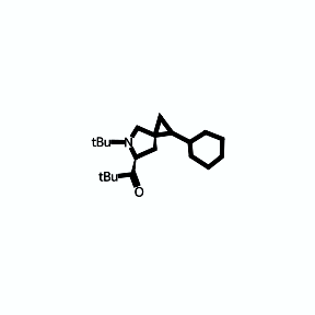 CC(C)(C)C(=O)[C@@H]1C[C@]2(CC2C2CCCCC2)CN1C(C)(C)C